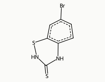 S=C1NSc2cc(Br)ccc2N1